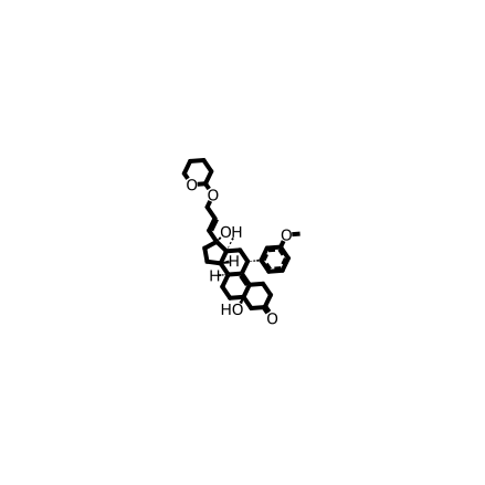 COc1cccc([C@H]2C[C@@]3(C)[C@@H](CC[C@@]3(O)C=CCOC3CCCCO3)[C@@H]3CC[C@@]4(O)CC(=O)CCC4=C32)c1